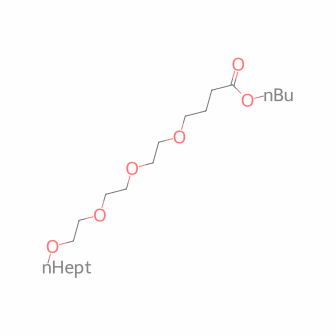 CCCCCCCOCCOCCOCCOCCCC(=O)OCCCC